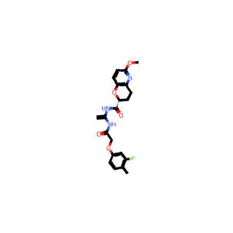 C=C(NC(=O)COc1ccc(C)c(F)c1)NC(=O)[C@H]1CCc2nc(OC)ccc2O1